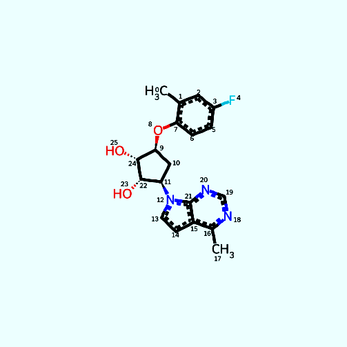 Cc1cc(F)ccc1O[C@H]1C[C@@H](n2ccc3c(C)ncnc32)[C@H](O)[C@@H]1O